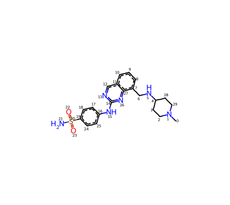 CN1CCC(NCc2cccc3cnc(Nc4ccc(S(N)(=O)=O)cc4)nc23)CC1